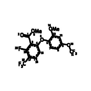 COC(=O)c1c(Oc2ccc(OC(F)(F)F)cc2OC)cnc(C(F)(F)F)c1F